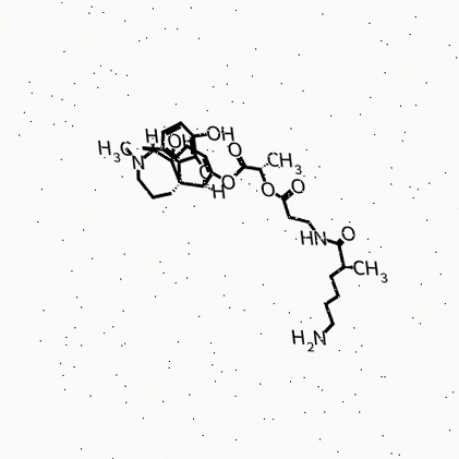 C[C@H](OC(=O)CCNC(=O)[C@@H](C)CCCCN)C(=O)OC1=CC[C@@]2(O)[C@H]3Cc4ccc(O)c5c4[C@@]2(CCCN3C)[C@H]1O5